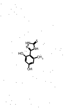 Cc1cc(O)cc(O)c1-c1n[nH]c(=S)[nH]1